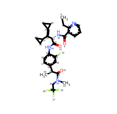 CCc1ncccc1C(=O)N[C@H](C(=O)Nc1ccc([C@H](C)C(=O)N(C)CC(F)(F)F)cc1F)C(=C1CC1)C1CC1